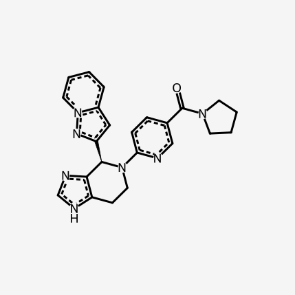 O=C(c1ccc(N2CCc3[nH]cnc3[C@H]2c2cc3ccccn3n2)nc1)N1CCCC1